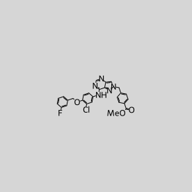 COC(=O)c1ccc(Cn2cc3ncnc(Nc4ccc(OCc5cccc(F)c5)c(Cl)c4)c3n2)cc1